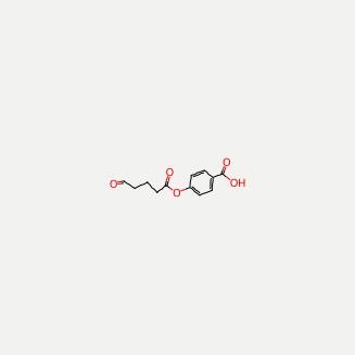 O=CCCCC(=O)Oc1ccc(C(=O)O)cc1